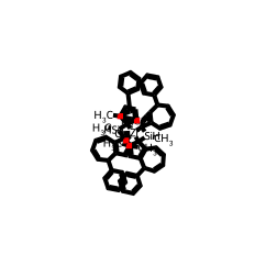 CC1=CC2=C(C=CC=CC2c2ccccc2)[C]12[SiH](C)[C]1(C(C)=CC3=C1C=CC=CC3c1ccccc1)[Zr]21([Cl])([Cl])[C]2(C(C)=CC3=C2C=CC=CC3c2ccccc2)[SiH](C)[C]12C(C)=CC1=C2C=CC=CC1c1ccccc1